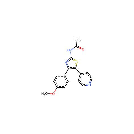 COc1ccc(-c2nc(NC(C)=O)sc2-c2ccncc2)cc1